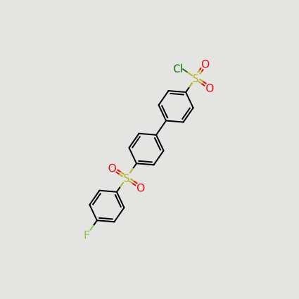 O=S(=O)(Cl)c1ccc(-c2ccc(S(=O)(=O)c3ccc(F)cc3)cc2)cc1